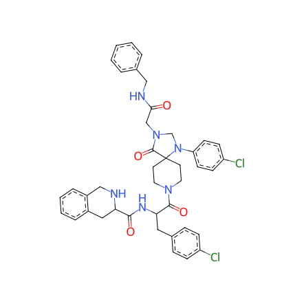 O=C(CN1CN(c2ccc(Cl)cc2)C2(CCN(C(=O)C(Cc3ccc(Cl)cc3)NC(=O)C3Cc4ccccc4CN3)CC2)C1=O)NCc1ccccc1